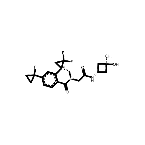 C[C@]1(O)C[C@H](NC(=O)CN2C[C@@]3(CC3(F)F)c3cc(C4(F)CC4)ccc3C2=O)C1